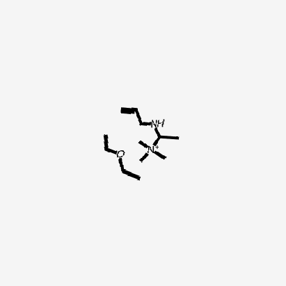 C=CCNC(C)[N+](C)(C)C.CCOCC